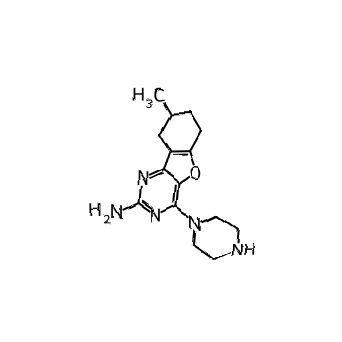 CC1CCc2oc3c(N4CCNCC4)nc(N)nc3c2C1